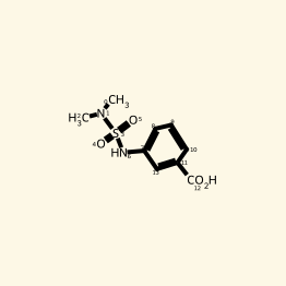 CN(C)S(=O)(=O)Nc1cccc(C(=O)O)c1